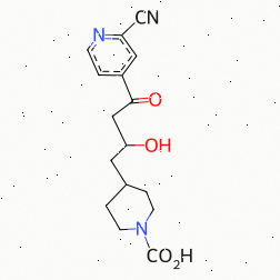 N#Cc1cc(C(=O)CC(O)CC2CCN(C(=O)O)CC2)ccn1